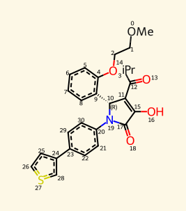 COCCOc1ccccc1[C@@H]1C(C(=O)C(C)C)=C(O)C(=O)N1c1ccc(-c2ccsc2)cc1